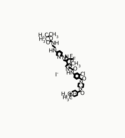 Cn1c(-c2cn(-c3ccc(NCCNC(=O)OC(C)(C)C)cn3)nc2C(F)(F)F)cnc1C(=O)Nc1ccc(C(=O)N2CCN(C(=O)C3CC[N+](C)(C)CC3)CC2)c(Cl)c1.[I-]